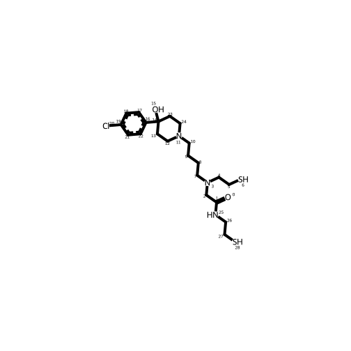 O=C(CN(CCS)CCCCN1CCC(O)(c2ccc(Cl)cc2)CC1)NCCS